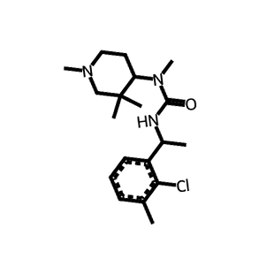 Cc1cccc(C(C)NC(=O)N(C)C2CCN(C)CC2(C)C)c1Cl